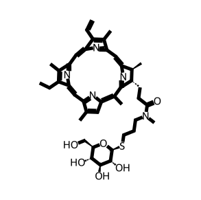 C=CC1=C(C)C2=NC1=CC1=NC(=CC3=NC(=C(C)C4=NC(=C2)[C@@H](C)[C@@H]4CCC(=O)N(C)CCCS[C@@H]2O[C@H](CO)[C@@H](O)[C@H](O)[C@H]2O)C=C3C)C(CC)=C1C